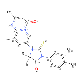 CCc1cc(=O)n2cc(N3C(=S)N(c4ccc(C#N)c(C(F)(F)F)c4)C(=O)C3(C)C)cc(C)c2n1